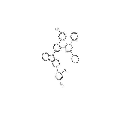 FC(F)(F)c1cccc(-c2ccc(-n3c4ccccc4c4cc(-c5ccc(C(F)(F)F)cc5C(F)(F)F)ccc43)cc2-c2nc(-c3ccccc3)nc(-c3ccccc3)n2)c1